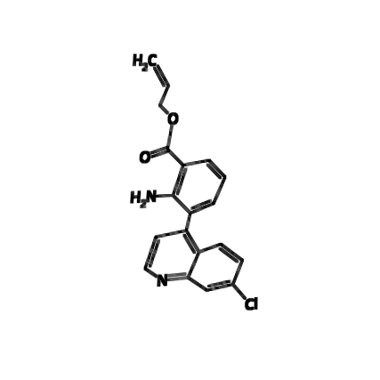 C=CCOC(=O)c1cccc(-c2ccnc3cc(Cl)ccc23)c1N